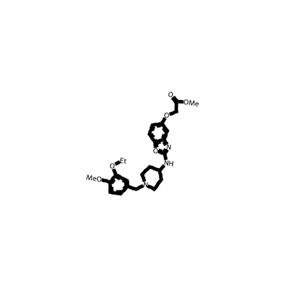 CCOc1cc(CN2CCC(Nc3nc4cc(OCC(=O)OC)ccc4o3)CC2)ccc1OC